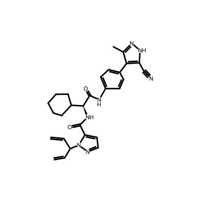 C=CC(C=C)n1nccc1C(=O)N[C@H](C(=O)Nc1ccc(-c2c(C)n[nH]c2C#N)cc1)C1CCCCC1